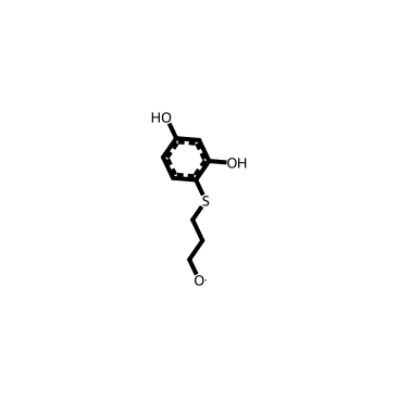 [O]CCCSc1ccc(O)cc1O